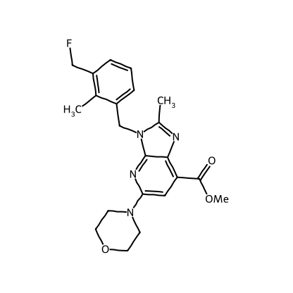 COC(=O)c1cc(N2CCOCC2)nc2c1nc(C)n2Cc1cccc(CF)c1C